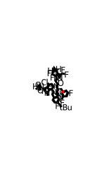 Cn1nc(NS(C)(=O)=O)c2c(Cl)ccc(N3Cc4ccc(C(F)(F)C(C)(C)C)cc4N=C3[C@H](Cc3cc(F)cc(F)c3)NC(=O)Cn3nc(C(F)F)c4c3C(F)(F)[C@@H]3C[C@H]43)c21